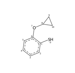 Sc1ccccc1OC1CC1